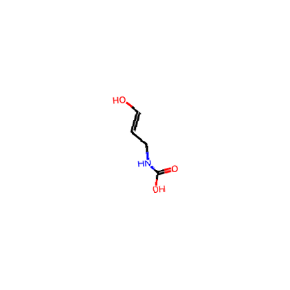 O=C(O)NCC=CO